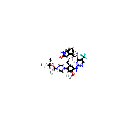 CCc1cc(Nc2ncc(C(F)(F)F)c(NCc3cccc4c3CC(=O)N4)n2)c(OC)cc1N1CCN(C(=O)OC(C)(C)C)CC1